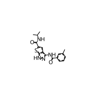 Cc1cccc(C(=O)Nc2n[nH]c3sc(C(=O)NC(C)C)cc23)c1